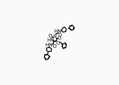 O=C(Cn1c(=O)[nH]c(C(=O)NC2CCC(c3ccccc3)CC2)c(OCc2ccccc2)c1=O)N[C@H]1CC[C@@H](c2ccccc2)CC1